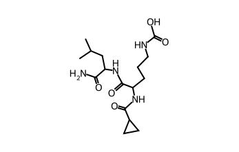 CC(C)CC(NC(=O)C(CCCNC(=O)O)NC(=O)C1CC1)C(N)=O